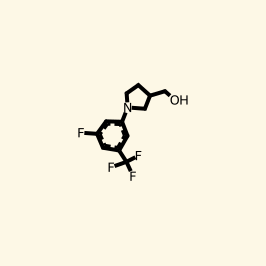 OCC1CCN(c2cc(F)cc(C(F)(F)F)c2)C1